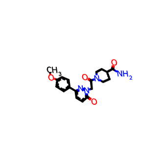 COc1ccc(-c2ccc(=O)n(CC(=O)N3CCC(C(N)=O)CC3)n2)cc1